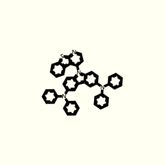 c1ccc(N(c2ccccc2)c2ccc3c(c2)c2cc(N(c4ccccc4)c4ccccc4)ccc2n3-c2ccnc3sc4ccccc4c23)cc1